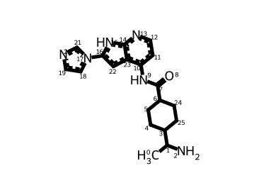 CC(N)C1CCC(C(=O)Nc2ccnc3[nH]c(-n4ccnc4)cc23)CC1